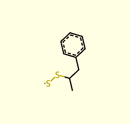 CC(Cc1ccccc1)S[S]